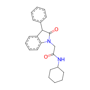 O=C(CN1C(=O)C(c2ccccc2)c2ccccc21)NC1CCCCC1